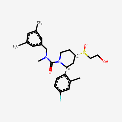 Cc1cc(F)ccc1[C@H]1C[C@@H]([S+]([O-])CCO)CCN1C(=O)N(C)Cc1cc(C(F)(F)F)cc(C(F)(F)F)c1